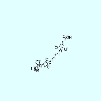 O=C(O)CCc1cc(Cl)c(OCCCCCCCOc2c(Cl)cc(Nc3ccccc3-c3nnn[nH]3)cc2Cl)c(Cl)c1